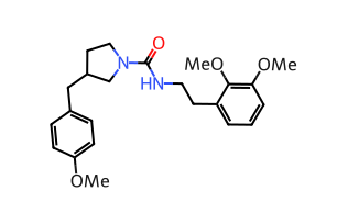 COc1ccc(CC2CCN(C(=O)NCCc3cccc(OC)c3OC)C2)cc1